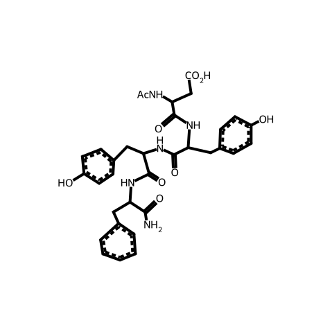 CC(=O)NC(CC(=O)O)C(=O)NC(Cc1ccc(O)cc1)C(=O)NC(Cc1ccc(O)cc1)C(=O)NC(Cc1ccccc1)C(N)=O